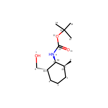 C[C@H]1CCC[C@H](CO)[C@H]1NC(=O)OC(C)(C)C